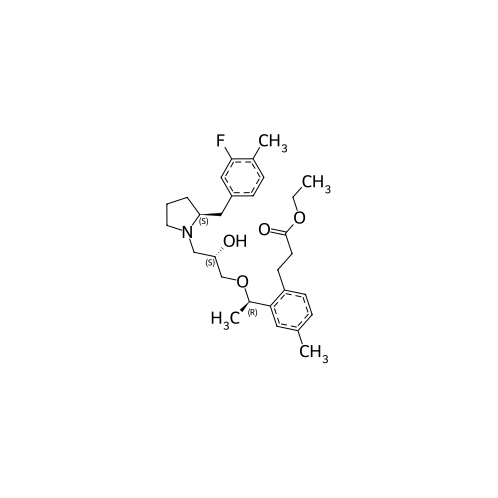 CCOC(=O)CCc1ccc(C)cc1[C@@H](C)OC[C@@H](O)CN1CCC[C@H]1Cc1ccc(C)c(F)c1